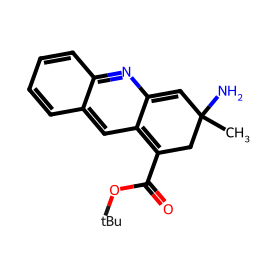 CC1(N)C=c2nc3ccccc3cc2=C(C(=O)OC(C)(C)C)C1